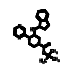 CC(C)(C)OC(=O)N1CCN(c2cnccn2)C(NC2CCc3ccccc32)C1